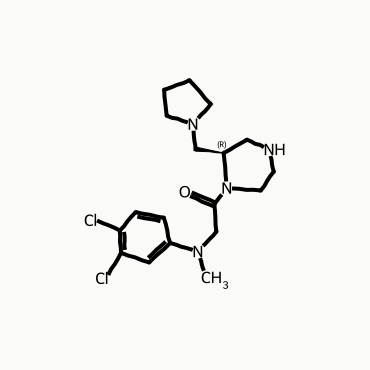 CN(CC(=O)N1CCNC[C@@H]1CN1CCCC1)c1ccc(Cl)c(Cl)c1